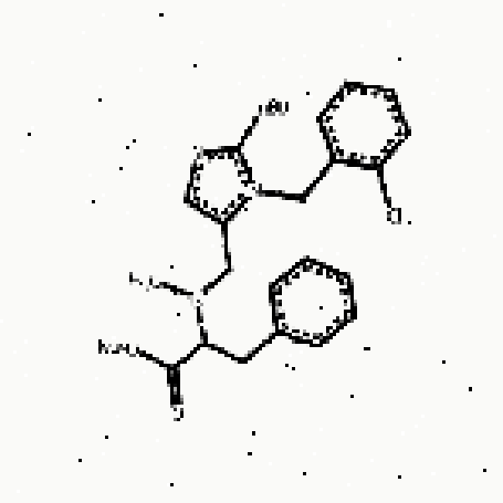 CCCCc1ncc(CN(C)C(Cc2ccccc2)C(=O)OC)n1Cc1ccccc1Cl